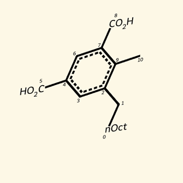 CCCCCCCCCc1cc(C(=O)O)cc(C(=O)O)c1C